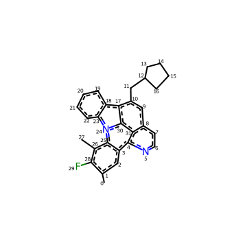 Cc1cc2c3nccc4cc(CC5CCCC5)c5c6ccccc6n(c2c(C)c1F)c5c43